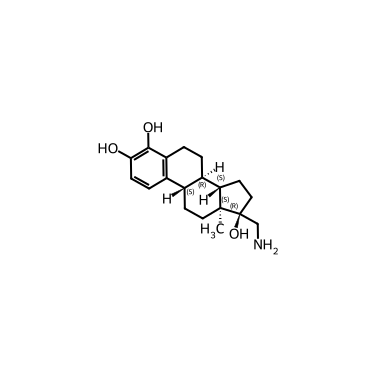 C[C@]12CC[C@@H]3c4ccc(O)c(O)c4CC[C@H]3[C@@H]1CC[C@]2(O)CN